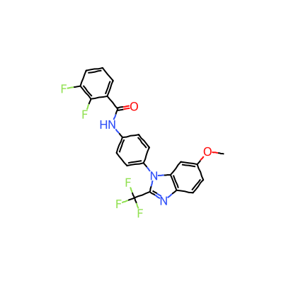 COc1ccc2nc(C(F)(F)F)n(-c3ccc(NC(=O)c4cccc(F)c4F)cc3)c2c1